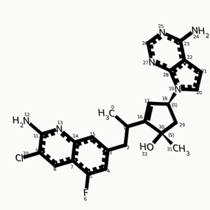 CC(Cc1cc(F)c2cc(Cl)c(N)nc2c1)C1=C[C@@H](n2ccc3c(N)ncnc32)C[C@]1(C)O